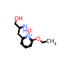 CCOc1cccc(CC(=N)CO)[n+]1[O-]